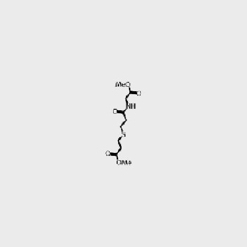 COC(=O)CCSCCC(=O)NCC(=O)OC